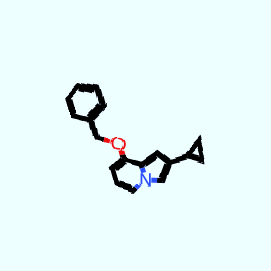 c1ccc(COc2cccn3cc(C4CC4)cc23)cc1